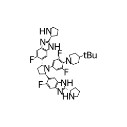 CC(C)(C)C1CCN(c2c(F)cc(N3[C@@H](c4cc5[nH]c([C@@H]6CCCN6)nc5cc4F)CC[C@@H]3c3cc4[nH]c([C@@H]5CCCN5)nc4cc3F)cc2F)CC1